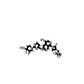 CCS(=O)(=O)C[C@H]1CN(c2ncc(C(C)C)c3cc(Nc4ccnc(N5CC[C@@](C)(O)[C@@H](F)C5)n4)ncc23)[C@@H]1C